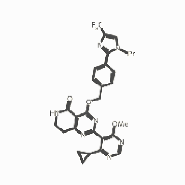 COc1ncnc(C2CC2)c1-c1nc2c(c(OCc3ccc(-c4nc(C(F)(F)F)cn4C(C)C)cc3)n1)C(=O)NCC2